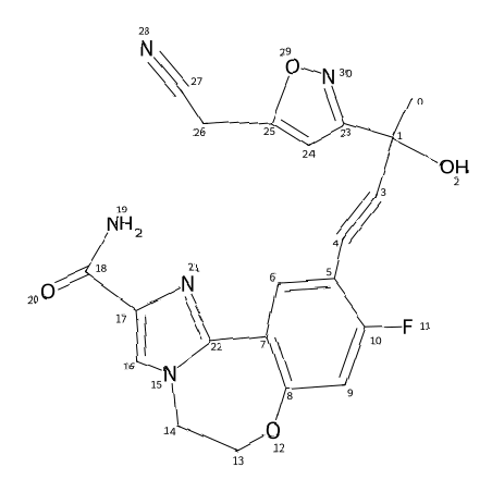 CC(O)(C#Cc1cc2c(cc1F)OCCn1cc(C(N)=O)nc1-2)c1cc(CC#N)on1